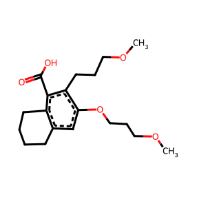 COCCCOc1cc2c(c(C(=O)O)c1CCCOC)CCCC2